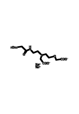 CCCCCCCCCCCC(=O)NCCN(CCOCC(=O)[O-])CC(=O)[O-].[Na+].[Na+]